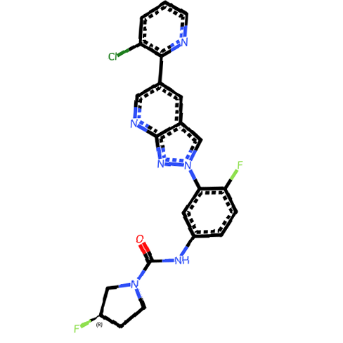 O=C(Nc1ccc(F)c(-n2cc3cc(-c4ncccc4Cl)cnc3n2)c1)N1CC[C@@H](F)C1